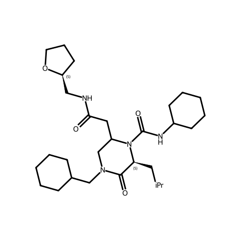 CC(C)C[C@H]1C(=O)N(CC2CCCCC2)CC(CC(=O)NC[C@@H]2CCCO2)N1C(=O)NC1CCCCC1